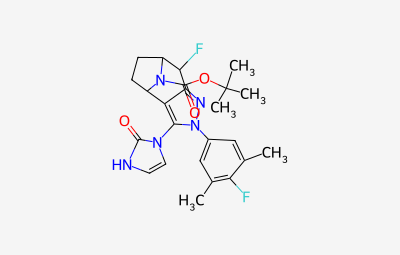 Cc1cc(-n2nc3c(c2-n2cc[nH]c2=O)C2CCC(C3F)N2C(=O)OC(C)(C)C)cc(C)c1F